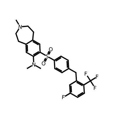 CN1CCc2cc(N(C)C)c(S(=O)(=O)c3ccc(Cc4cc(F)ccc4C(F)(F)F)cc3)cc2CC1